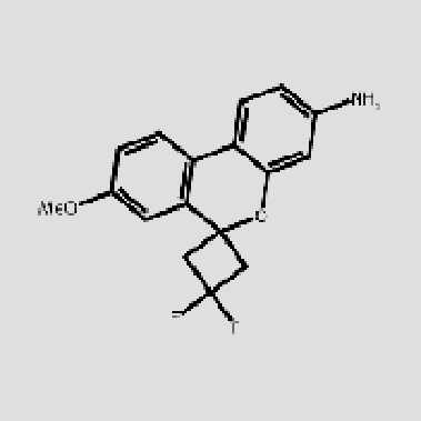 COc1ccc2c(c1)C1(CC(F)(F)C1)Oc1cc(N)ccc1-2